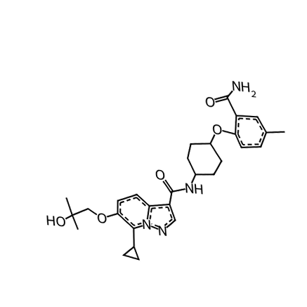 Cc1ccc(OC2CCC(NC(=O)c3cnn4c(C5CC5)c(OCC(C)(C)O)ccc34)CC2)c(C(N)=O)c1